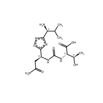 CC(C)[C@H](N)c1noc([C@H](CC(N)=O)NC(=O)N[C@H](C(=O)O)[C@@H](C)O)n1